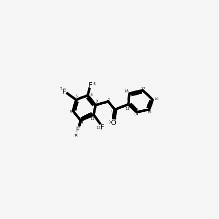 O=C(Cc1c(F)c(F)cc(F)c1F)c1ccccc1